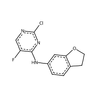 Fc1cnc(Cl)nc1Nc1ccc2c(c1)OCC2